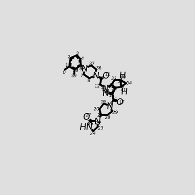 Cc1cccc(N2CCN(C(=O)Cn3nc(C(=O)N4CCC(N5CCNC5=O)CC4)c4c3C[C@H]3C[C@@H]43)CC2)c1C